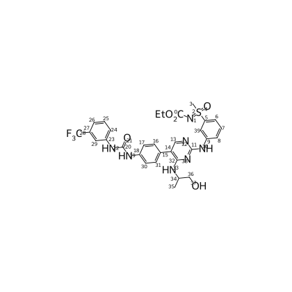 CCOC(=O)N=S(C)(=O)c1cccc(Nc2ncc(-c3ccc(NC(=O)Nc4cccc(C(F)(F)F)c4)cc3)c(NC(C)CO)n2)c1